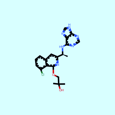 C[C@H](Nc1ncnc2[nH]cnc12)c1cc2cccc(Cl)c2c(OCC(C)(C)O)n1